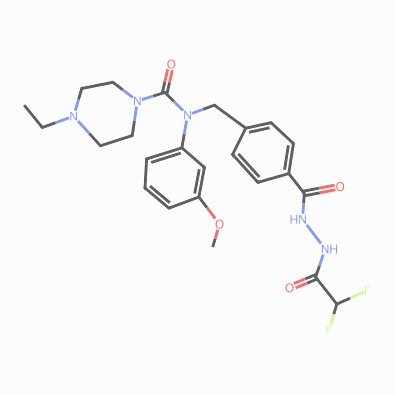 CCN1CCN(C(=O)N(Cc2ccc(C(=O)NNC(=O)C(F)F)cc2)c2cccc(OC)c2)CC1